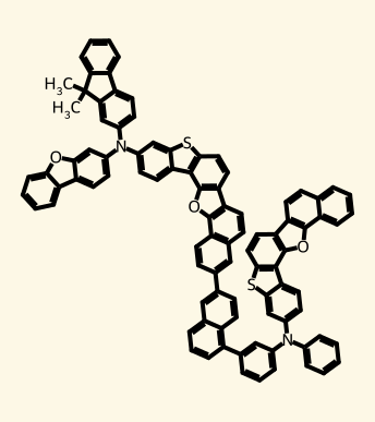 CC1(C)c2ccccc2-c2ccc(N(c3ccc4c(c3)oc3ccccc34)c3ccc4c(c3)sc3ccc5c6ccc7cc(-c8ccc9c(-c%10cccc(N(c%11ccccc%11)c%11ccc%12c(c%11)sc%11ccc%13c%14ccc%15ccccc%15c%14oc%13c%11%12)c%10)cccc9c8)ccc7c6oc5c34)cc21